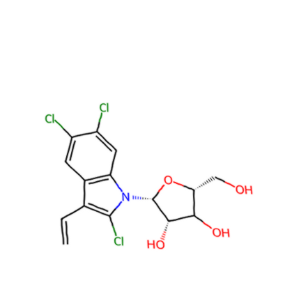 C=Cc1c(Cl)n([C@@H]2O[C@H](CO)C(O)[C@@H]2O)c2cc(Cl)c(Cl)cc12